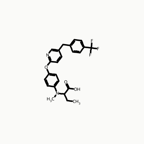 CCC(C(=O)O)N(C)c1ccc(Oc2ccc(Cc3ccc(C(F)(F)F)cc3)cn2)cc1